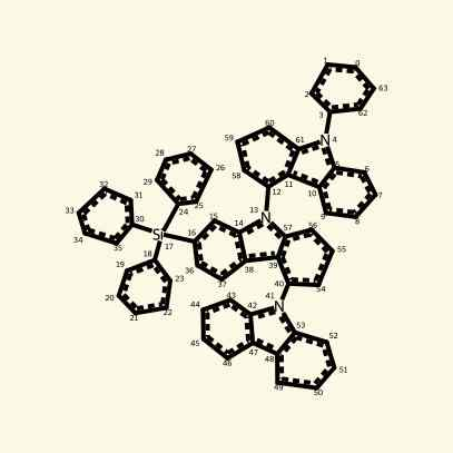 c1ccc(-n2c3ccccc3c3c(-n4c5cc([Si](c6ccccc6)(c6ccccc6)c6ccccc6)ccc5c5c(-n6c7ccccc7c7ccccc76)cccc54)cccc32)cc1